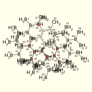 BBB(B)B(B(B)B)B(B(B(B(B)B)B(B)B)B(B(B)B)B(B)B)c1c(CC)c(C)c(C)c(B(B(B(B)B)B(B)B)B(B(BB)B(B)B)B(B(B)B)B(B)B)c1B(B(B(B)B)B(B)B)B(B(B(B)B)B(B)B)B(B(B)B)B(B)B